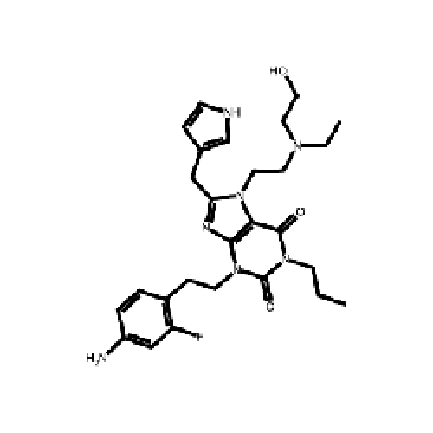 CCCn1c(=O)c2c(nc(Cc3cc[nH]c3)n2CCN(CC)CCO)n(CCc2ccc(N)cc2F)c1=O